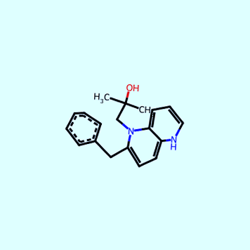 CC(C)(O)CN1C(Cc2ccccc2)=CC=C2NC=CC=C21